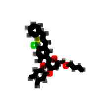 CCCCOC[C@@H]1CC(OCCCC)[C@@H](OCCCC)C(c2cc(Cc3cc4ccccc4s3)c(Cl)cc2C)O1